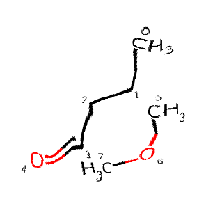 CCCC=O.COC